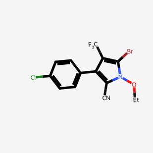 CCOn1c(Br)c(C(F)(F)F)c(-c2ccc(Cl)cc2)c1C#N